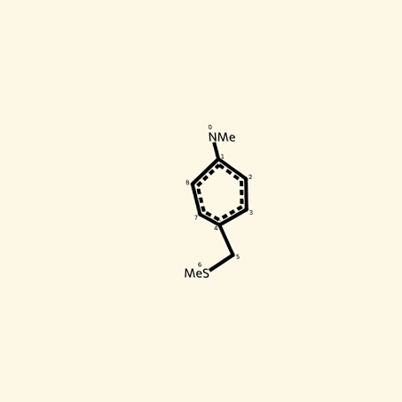 CNc1ccc(CSC)cc1